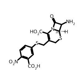 NC1C(=O)N2C(C(=O)O)=C(CSc3ccc([N+](=O)[O-])c(C(=O)O)c3)CS[C@H]12